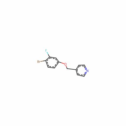 Fc1cc(OCc2ccncc2)ccc1Br